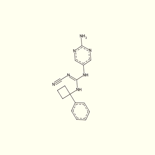 N#CN=C(Nc1cnc(N)nc1)NC1(c2ccccc2)CCC1